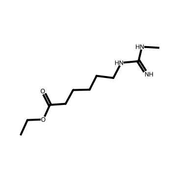 CCOC(=O)CCCCCNC(=N)NC